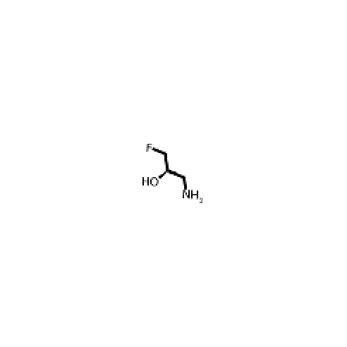 NC[C@@H](O)CF